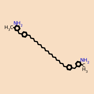 Cc1cc(Cc2ccc(CCCCCCCCCCCCCCCCCCCCc3ccc(Cc4ccc(N)c(C)c4)cc3)cc2)ccc1N